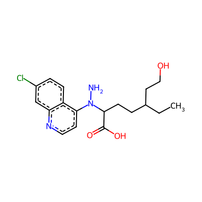 CCC(CCO)CCC(C(=O)O)N(N)c1ccnc2cc(Cl)ccc12